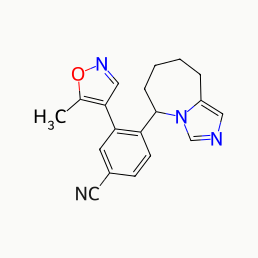 Cc1oncc1-c1cc(C#N)ccc1C1CCCCc2cncn21